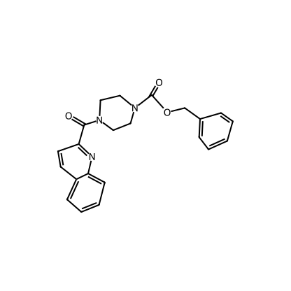 O=C(OCc1ccccc1)N1CCN(C(=O)c2ccc3ccccc3n2)CC1